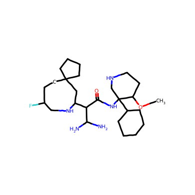 COC1CCNCC1(NC(=O)C(C(N)N)C1CC2(CCCC2)CCC(F)CN1)C1CCCCC1